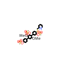 COc1cc(-c2ccc(OS(C)(=O)=O)cc2)c(OC)c(OS(C)(=O)=O)c1-c1ccc(SCc2ccccn2)c(OS(C)(=O)=O)c1